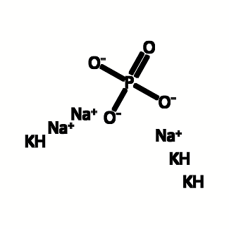 O=P([O-])([O-])[O-].[KH].[KH].[KH].[Na+].[Na+].[Na+]